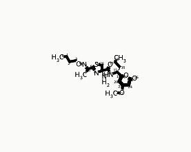 CCCCO/N=C(\C)C1=N[C@](N)(C(=O)N[C@H](CCC)c2cc(OC)cc(=O)o2)CS1